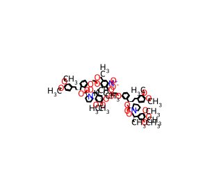 CC[C@H](C(=O)N1CCCC[C@H]1C(=O)O[C@H](CCc1ccc(OC)c(OC)c1)c1cccc(OCC(=O)OC(C)c2ccc(C(C)OC(=O)COc3cccc([C@@H](CCc4ccc(OC)c(OC)c4)OC(=O)[C@@H]4CCCCN4C(=O)[C@@H](CC)c4cc(OC)c(OC)c(OC)c4)c3)c([N+](=O)[O-])c2)c1)c1cc(OC)c(OC)c(OC)c1